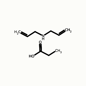 C=CCNCC=C.CCC(=O)O